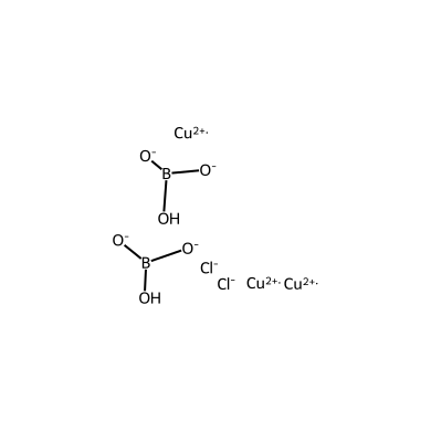 [Cl-].[Cl-].[Cu+2].[Cu+2].[Cu+2].[O-]B([O-])O.[O-]B([O-])O